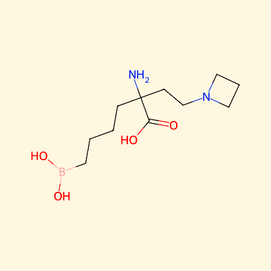 NC(CCCCB(O)O)(CCN1CCC1)C(=O)O